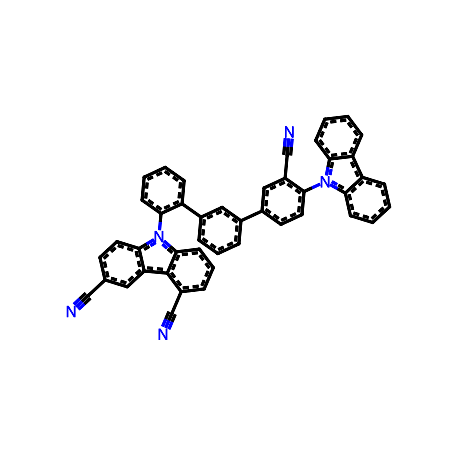 N#Cc1ccc2c(c1)c1c(C#N)cccc1n2-c1ccccc1-c1cccc(-c2ccc(-n3c4ccccc4c4ccccc43)c(C#N)c2)c1